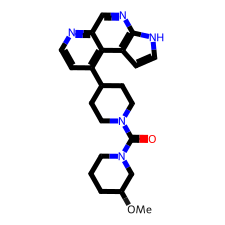 COC1CCCN(C(=O)N2CCC(c3ccnc4cnc5[nH]ccc5c34)CC2)C1